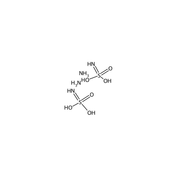 N.N.N=S(=O)(O)O.N=S(=O)(O)O